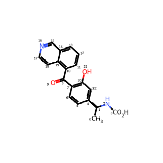 CC(NC(=O)O)c1ccc(C(=O)c2cccc3cnccc23)c(O)c1